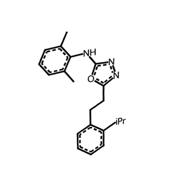 Cc1cccc(C)c1Nc1nnc(CCc2ccccc2C(C)C)o1